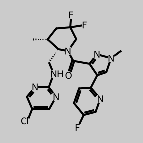 C[C@@H]1CC(F)(F)CN(C(=O)c2nn(C)cc2-c2ccc(F)cn2)[C@@H]1CNc1ncc(Cl)cn1